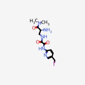 CN(C)C(=O)[C@@H](N)CNC(=O)C(=O)Nc1ccc(CI)cn1